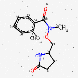 CN(OCC1CCC(=O)N1)C(=O)c1ccccc1C=O